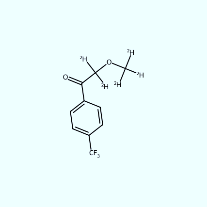 [2H]C([2H])([2H])OC([2H])([2H])C(=O)c1ccc(C(F)(F)F)cc1